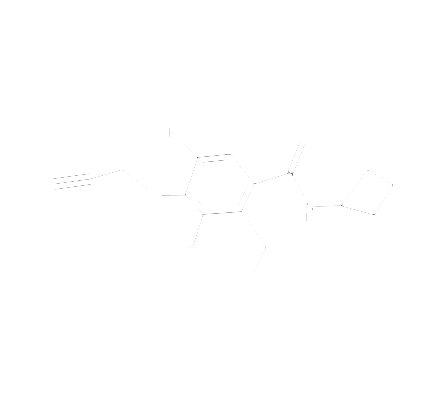 C#CCOc1c(F)cc(C(=O)NC2CCC2)c(CC)c1F